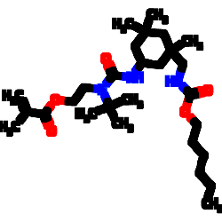 C=C(C)C(=O)OCCN(C(=O)NC1CC(C)(C)CC(C)(CNC(=O)OCCCCCC)C1)C(C)(C)C